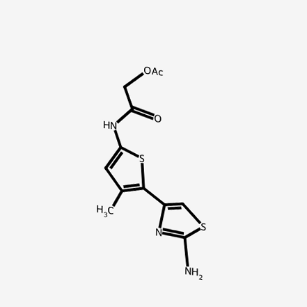 CC(=O)OCC(=O)Nc1cc(C)c(-c2csc(N)n2)s1